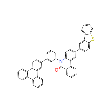 O=c1c2ccccc2c2cc(-c3ccc4sc5ccccc5c4c3)ccc2n1-c1cccc(-c2ccc3c4ccccc4c4ccccc4c3c2)c1